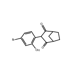 O=C1C2CCC(C2)C(=O)C1c1ccc(Br)cc1O